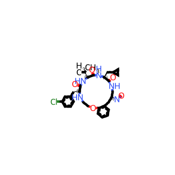 CC(C)[C@H]1NC(=O)[C@@H](Cc2cccc(Cl)c2)NCCOc2ccccc2C[C@@H](N=O)CNC(=O)[C@H](CC2CC2)NC1=O